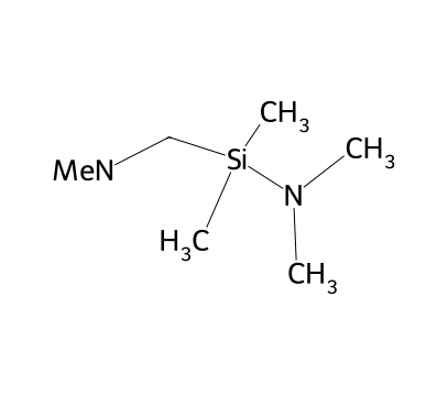 CNC[Si](C)(C)N(C)C